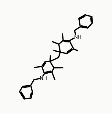 CC1=CC(C)(CC2(C)C=C(C)C(NCc3ccccc3)=C(C)C2C)C(C)C(C)=C1NCc1ccccc1